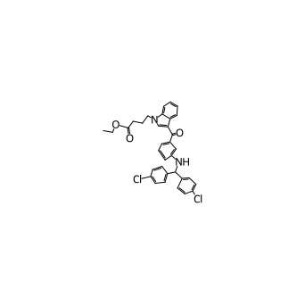 CCOC(=O)CCCn1cc(C(=O)c2cccc(NC(c3ccc(Cl)cc3)c3ccc(Cl)cc3)c2)c2ccccc21